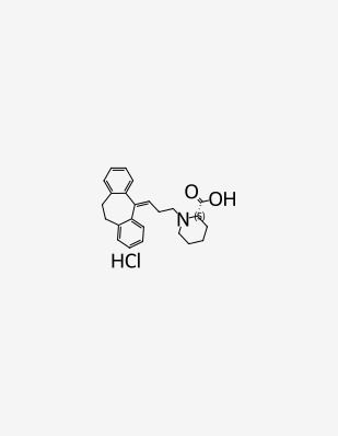 Cl.O=C(O)[C@@H]1CCCCN1CCC=C1c2ccccc2CCc2ccccc21